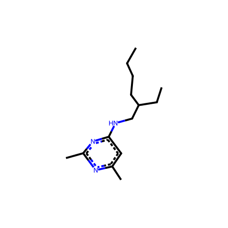 CCCCC(CC)CNc1cc(C)nc(C)n1